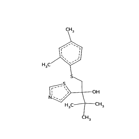 Cc1ccc(SCC(O)(c2cncs2)C(C)(C)C)c(C)c1